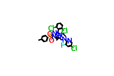 Cc1ccc(S(=O)(=O)N/N=C(/c2c(Cl)cccc2Cl)N2CCN(c3ncc(Cl)cc3F)CC23CC3)cc1